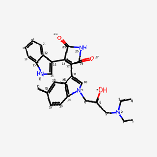 CCN(CC)CC(O)Cn1cc(C2=C(c3c[nH]c4ccccc34)C(=O)NC2=O)c2cc(C)ccc21